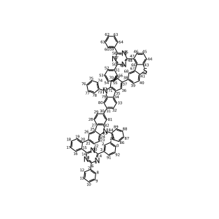 c1ccc(-c2nc(-c3ccccc3)nc(-c3ccccc3-c3ccc4c(c3)c3ccc(-c5ccc6c7cc(-c8ccc9sc%10cccc(-c%11nc(-c%12ccccc%12)nc(-c%12ccccc%12)n%11)c%10c9c8)ccc7n(-c7ccccc7)c6c5)cc3n4-c3ccccc3)n2)cc1